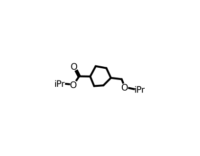 CC(C)OCC1CCC(C(=O)OC(C)C)CC1